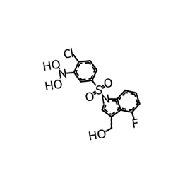 O=S(=O)(c1ccc(Cl)c(N(O)O)c1)n1cc(CO)c2c(F)cccc21